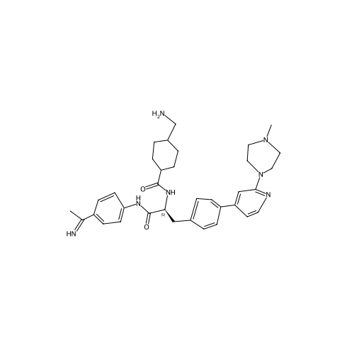 CC(=N)c1ccc(NC(=O)[C@H](Cc2ccc(-c3ccnc(N4CCN(C)CC4)c3)cc2)NC(=O)C2CCC(CN)CC2)cc1